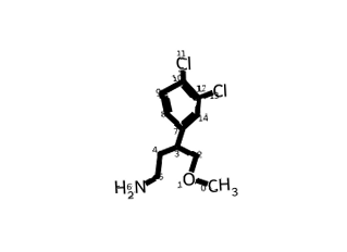 COCC(CCN)c1ccc(Cl)c(Cl)c1